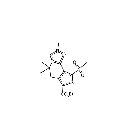 CCOC(=O)c1sc(S(C)(=O)=O)c2c1CC(C)(C)c1cn(C)nc1-2